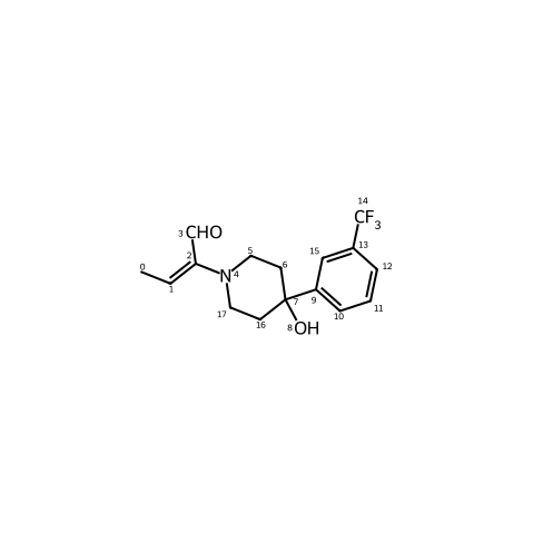 CC=C(C=O)N1CCC(O)(c2cccc(C(F)(F)F)c2)CC1